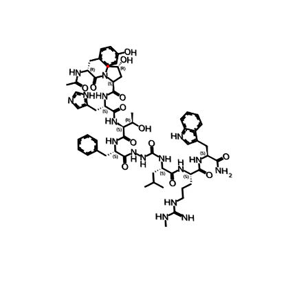 CNC(=N)NCCC[C@H](NC(=O)[C@H](CC(C)C)NC(=O)NNC(=O)[C@H](Cc1ccccc1)NC(=O)[C@@H](NC(=O)[C@H](Cc1cnc[nH]1)NC(=O)[C@@H]1C[C@@H](O)CN1C(=O)[C@@H](Cc1ccc(O)cc1)NC(C)=O)[C@@H](C)O)C(=O)N[C@@H](Cc1c[nH]c2ccccc12)C(N)=O